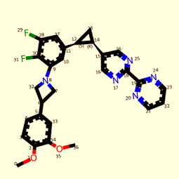 COc1ccc(C2CN(c3cc([C@H]4C[C@H]4c4cnc(-c5ncccn5)nc4)cc(F)c3F)C2)cc1OC